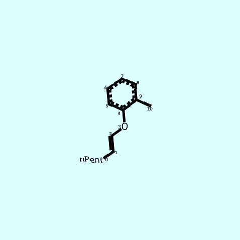 CCCCC/C=C/Oc1ccccc1C